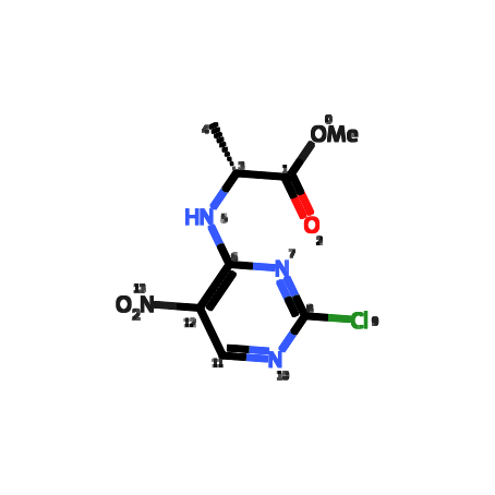 COC(=O)[C@@H](C)Nc1nc(Cl)ncc1[N+](=O)[O-]